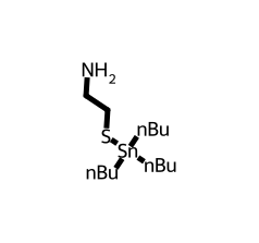 CCC[CH2][Sn]([CH2]CCC)([CH2]CCC)[S]CCN